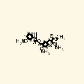 COC(=O)C(Cc1ccc(OC)c(COC(=O)Nc2cccc(OC)c2)c1)C(=O)OC